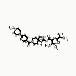 C=C(N)/C(=N\C(Cl)=C(N)N)C(=O)/N=C1\NCC2(CCN(C(=O)c3ccc(N4CCN(C)CC4)nc3)CC2)N1